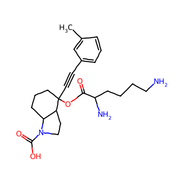 Cc1cccc(C#CC2(OC(=O)C(N)CCCCN)CCCC3C2CCN3C(=O)O)c1